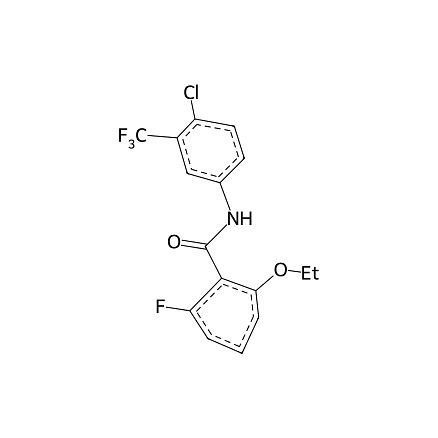 CCOc1cccc(F)c1C(=O)Nc1ccc(Cl)c(C(F)(F)F)c1